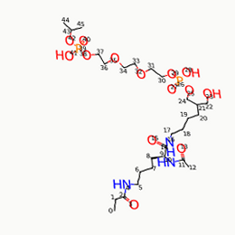 CCC(=O)NCCCC[C@H](NC(C)=O)C(=O)NCCCCC(CO)COP(=O)(O)OCCOCCOCCOP(=O)(O)OC(C)C